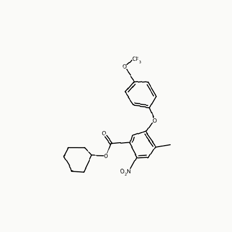 Cc1cc([N+](=O)[O-])c(C(=O)OC2CCCCC2)cc1Oc1ccc(OC(F)(F)F)cc1